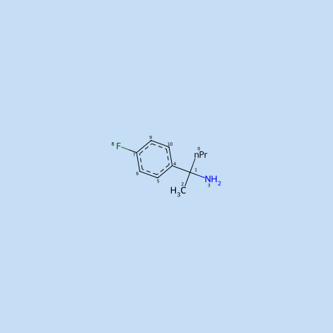 CCCC(C)(N)c1ccc(F)cc1